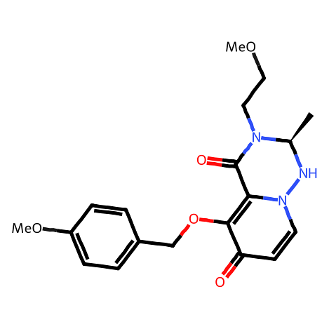 COCCN1C(=O)c2c(OCc3ccc(OC)cc3)c(=O)ccn2N[C@@H]1C